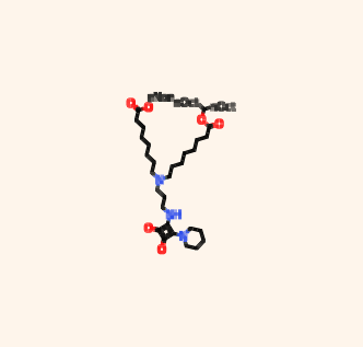 CCCCCCCCCOC(=O)CCCCCCCN(CCCCCCCC(=O)OC(CCCCCCCC)CCCCCCCC)CCCNc1c(N2CCCCC2)c(=O)c1=O